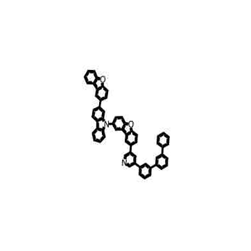 c1ccc(-c2cccc(-c3cccc(-c4cncc(-c5ccc6oc7ccc(-n8c9ccccc9c9ccc(-c%10ccc%11oc%12ccccc%12c%11c%10)cc98)cc7c6c5)c4)c3)c2)cc1